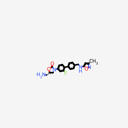 Cc1cc(NCc2ccc(-c3ccc(N4C[C@H](CN)OC4=O)cc3F)cc2)on1